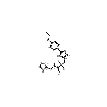 CCCc1ccc(-c2nnn(CC(C)(C)C(=O)NCc3ncco3)n2)cc1